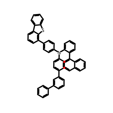 c1ccc(-c2cccc(-c3ccc(N(c4ccc(-c5cccc6c5sc5ccccc56)cc4)c4ccccc4-c4cccc5ccccc45)cc3)c2)cc1